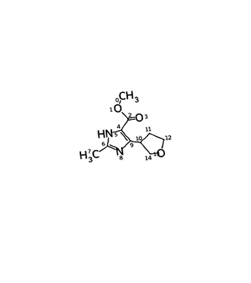 COC(=O)c1[nH]c(C)nc1C1CCOC1